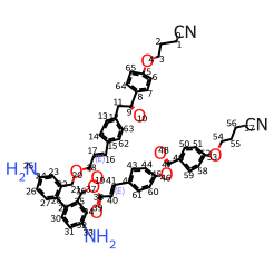 N#CCCCOc1ccc(C(=O)Cc2ccc(/C=C/C(=O)OCc3cc(N)ccc3-c3ccc(N)cc3COC(=O)/C=C/c3ccc(OC(=O)c4ccc(OCCCC#N)cc4)cc3)cc2)cc1